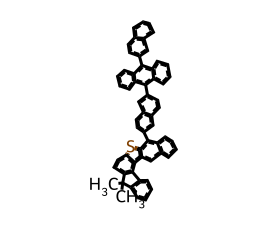 CC1(C)c2ccccc2-c2c1ccc1sc3c(-c4ccc5cc(-c6c7ccccc7c(-c7ccc8ccccc8c7)c7ccccc67)ccc5c4)c4ccccc4cc3c21